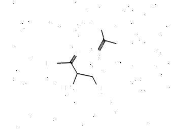 NC(CS)C(=O)O.O=C([O-])[O-].[K+].[K+]